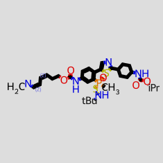 C=N/C=C\C=C/CCOC(=O)Nc1ccc(-c2cnc(C3CCC(NC(=O)OC(C)C)CC3)s2)c(P(C)(=O)SNC(C)(C)C)c1